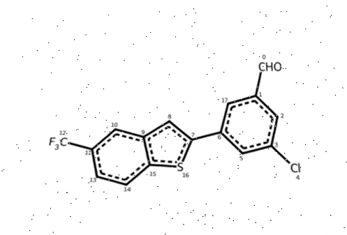 O=Cc1cc(Cl)cc(-c2cc3cc(C(F)(F)F)ccc3s2)c1